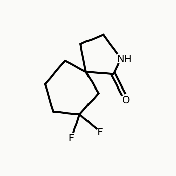 O=C1NCCC12CCCC(F)(F)C2